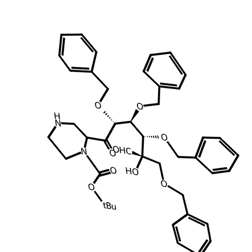 CC(C)(C)OC(=O)N1CCNCC1C(=O)[C@H](OCc1ccccc1)[C@@H](OCc1ccccc1)[C@H](OCc1ccccc1)[C@](O)(C=O)COCc1ccccc1